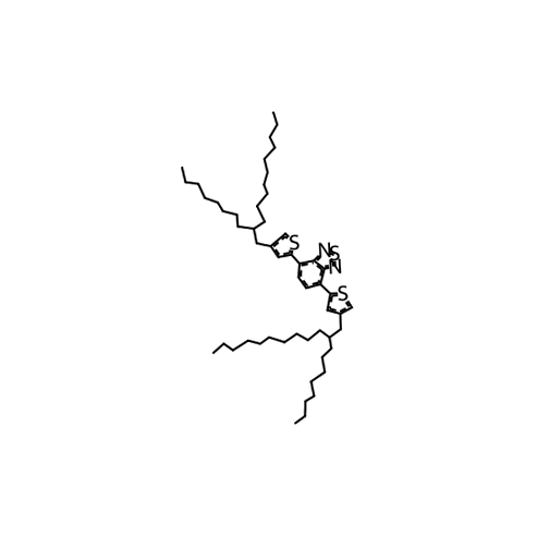 CCCCCCCCCCC(CCCCCCCC)Cc1csc(-c2ccc(-c3cc(CC(CCCCCCCC)CCCCCCCCCC)cs3)c3nsnc23)c1